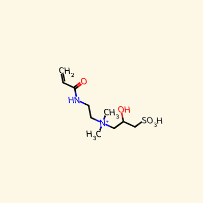 C=CC(=O)NCC[N+](C)(C)CC(O)CS(=O)(=O)O